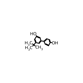 CC(C)(C)c1cc(O)cc(-c2ccc(O)cc2)c1